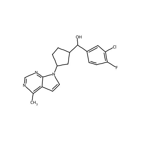 Cc1ncnc2c1ccn2C1CCC(C(O)c2ccc(F)c(Cl)c2)C1